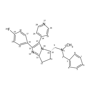 CN(Cc1ccccc1)C[C@@H]1CCc2nc(-c3ccc(F)cc3)c(-c3ccncc3)n21